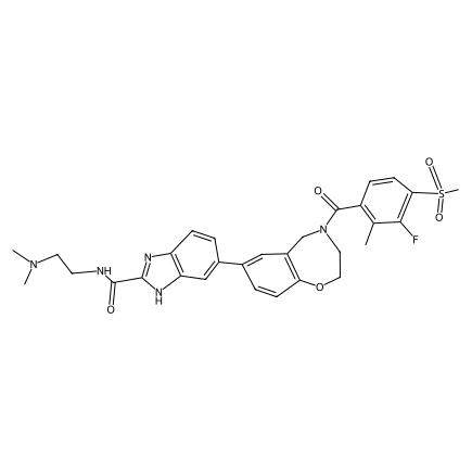 Cc1c(C(=O)N2CCOc3ccc(-c4ccc5nc(C(=O)NCCN(C)C)[nH]c5c4)cc3C2)ccc(S(C)(=O)=O)c1F